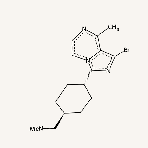 CNC[C@H]1CC[C@H](c2nc(Br)c3c(C)nccn32)CC1